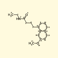 CCNC(=O)CCCc1cccc2ccc(OC)cc12